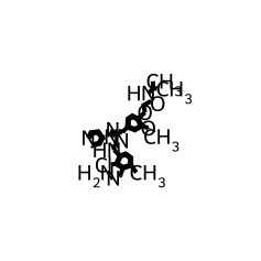 COc1cc(-c2nc(Nc3ccc(C)c(/C=N\N)c3Cl)n(-c3ccncc3)n2)ccc1OCC(=O)NC(C)C